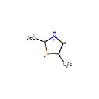 CC(=O)OC1CNC(OC(C)=O)S1